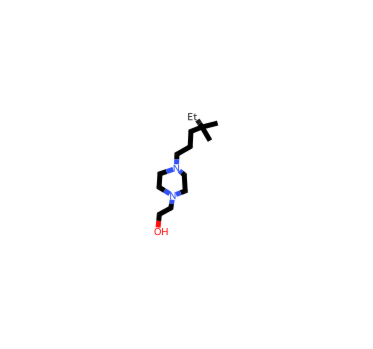 CCC(C)(C)CCCN1CCN(CCO)CC1